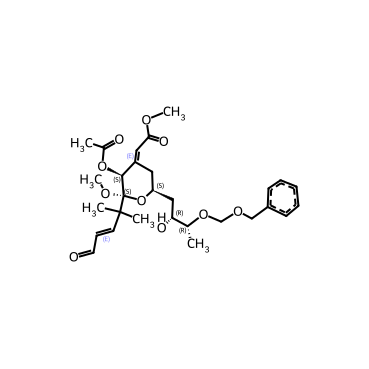 COC(=O)/C=C1\C[C@@H](C[C@@H](O)[C@@H](C)OCOCc2ccccc2)O[C@@](OC)(C(C)(C)/C=C/C=O)[C@H]1OC(C)=O